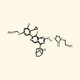 COCOc1cc(Cl)c(C2CC2)c(-c2ncc3c(N4CC5CCC(C4)N5C(=O)O)nc(OC[C@@H]4CC[C@@H](CCO)N4)nc3c2F)c1